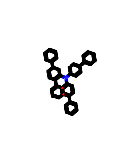 C1=CC(c2ccccc2)CC(N(c2ccc(-c3ccccc3)cc2)c2ccc(-c3ccccc3)cc2)=C1c1ccccc1